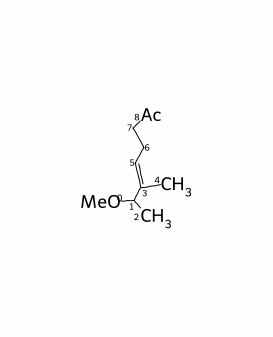 COC(C)C(C)=CCCC(C)=O